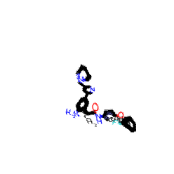 C=C(/C=C\C(=C/C)NC(=O)C(=C)c1cc(-c2cncc(CN3CCCCC3)c2)ccc1N)Oc1ccccc1F